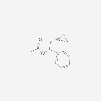 CC(=O)OC(CN1CC1)c1ccccc1